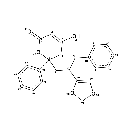 O=C1C=C(O)CC(CC(Cc2ccccc2)C2=COCO2)(c2ccccc2)O1